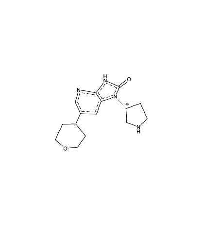 O=c1[nH]c2ncc(C3CCOCC3)cc2n1[C@@H]1CCNC1